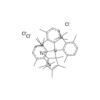 CC1=C(C)C(C)([Si](c2c(C)ccc(C)c2[Si](C)(C)C)(c2c(C)ccc(C)c2[Si](C)(C)C)c2c(C)ccc(C)c2[Si](C)(C)C)[C]([Ti+3])=C1C.[Cl-].[Cl-].[Cl-]